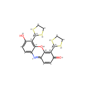 O=c1ccc2nc3ccc(O)c([As]4SCCS4)c3oc-2c1[As]1SCCS1